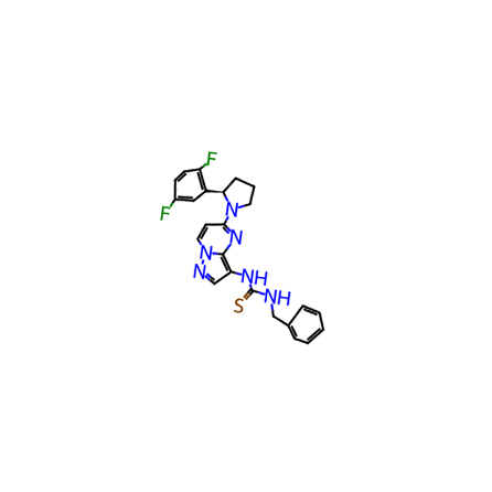 Fc1ccc(F)c([C@H]2CCCN2c2ccn3ncc(NC(=S)NCc4ccccc4)c3n2)c1